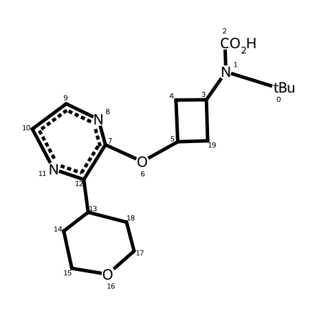 CC(C)(C)N(C(=O)O)C1CC(Oc2nccnc2C2CCOCC2)C1